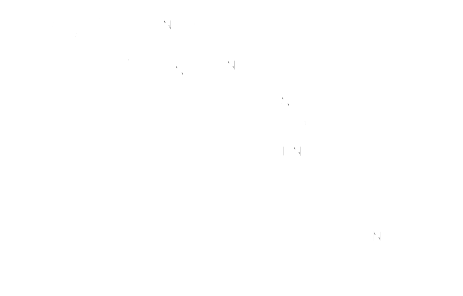 O=C1CCC(c2ccccc2)(c2nsc(N3CCCN(C(=O)Nc4ccc(-n5cccc5)cc4)CC3)n2)CC1